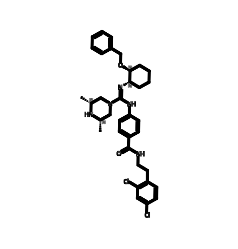 C[C@@H]1CN(C(=N[C@H]2CCCC[C@@H]2OCc2ccccc2)Nc2ccc(C(=O)NCCc3ccc(Cl)cc3Cl)cc2)C[C@H](C)N1